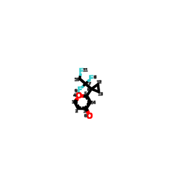 O=c1ccoc(C2(C(F)(F)CF)CC2)c1